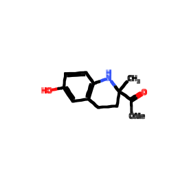 COC(=O)C1(C)CCc2cc(O)ccc2N1